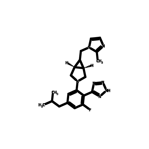 Cc1nccn1CC1[C@H]2CN(c3cc(CC(C)C)cc(F)c3-c3nn[nH]n3)C[C@@H]12